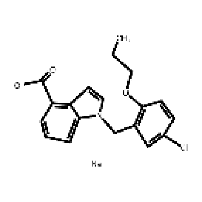 CCCOc1ccc(Cl)cc1Cn1ccc2c(C(=O)[O-])cccc21.[Na+]